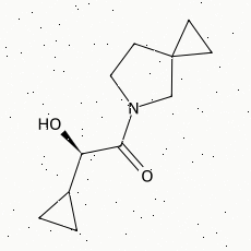 O=C([C@H](O)C1CC1)N1CCC2(CC2)C1